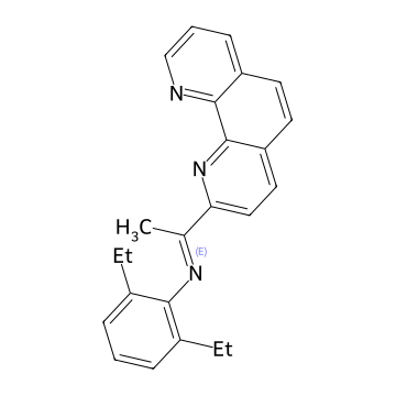 CCc1cccc(CC)c1/N=C(\C)c1ccc2ccc3cccnc3c2n1